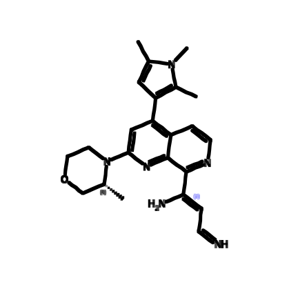 Cc1cc(-c2cc(N3CCOC[C@H]3C)nc3c(/C(N)=C/C=N)nccc23)c(C)n1C